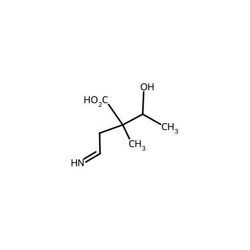 CC(O)C(C)(CC=N)C(=O)O